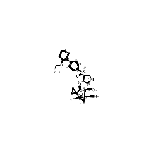 CCOc1ccccc1-c1ccc(S(=O)(=O)[C@H]2CN[C@H](C(=O)N(C(=O)C3(C(F)(F)F)CC3)C3(C#N)CC3)C2)cc1